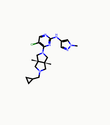 Cn1cc(Nc2ncc(Cl)c(N3C[C@]4(C)CN(CC5CC5)C[C@]4(C)C3)n2)cn1